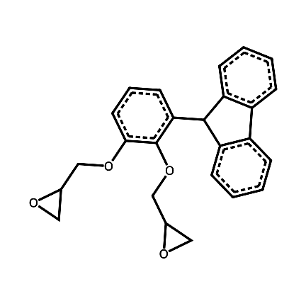 c1ccc2c(c1)-c1ccccc1C2c1cccc(OCC2CO2)c1OCC1CO1